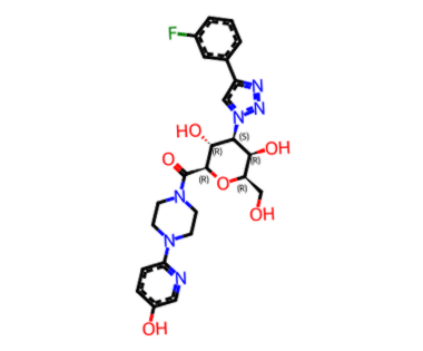 O=C([C@@H]1O[C@H](CO)[C@H](O)[C@H](n2cc(-c3cccc(F)c3)nn2)[C@H]1O)N1CCN(c2ccc(O)cn2)CC1